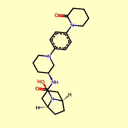 O=C1CCCCN1c1ccc(N2CCC[C@H](NC(=O)N3[C@@H]4CC[C@H]3C[C@@H](O)C4)C2)cc1